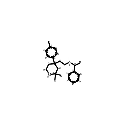 Cc1ccc(C2(CCNC(C)c3ccccc3)CCOC(C)(C)C2)cc1